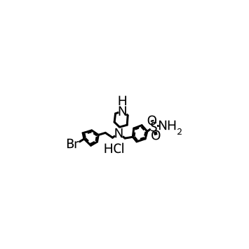 Cl.NS(=O)(=O)c1ccc(CN(CCc2ccc(Br)cc2)C2CCNCC2)cc1